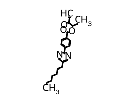 C#CC(=O)C(CC)OC(=O)c1ccc(-c2ncc(CCCCCCC)cn2)cc1